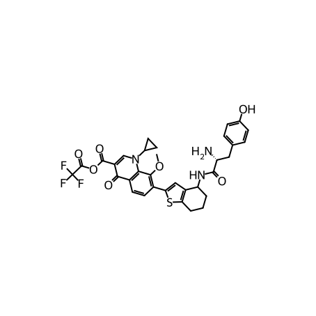 COc1c(-c2cc3c(s2)CCCC3NC(=O)[C@H](N)Cc2ccc(O)cc2)ccc2c(=O)c(C(=O)OC(=O)C(F)(F)F)cn(C3CC3)c12